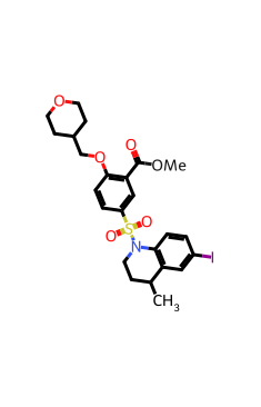 COC(=O)c1cc(S(=O)(=O)N2CCC(C)c3cc(I)ccc32)ccc1OCC1CCOCC1